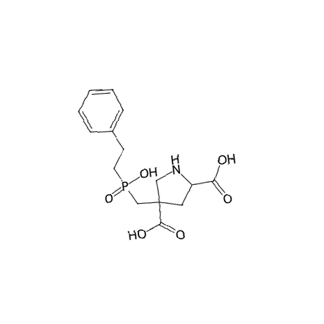 O=C(O)C1CC(CP(=O)(O)CCc2ccccc2)(C(=O)O)CN1